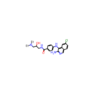 CCN(CC)CC(O)CNC(=O)c1ccc(Nc2c(N)ncc3ccc(Cl)cc23)cc1